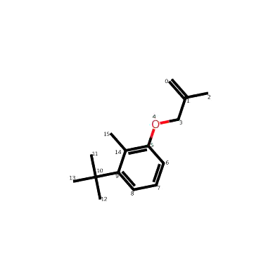 C=C(C)COc1cccc(C(C)(C)C)c1C